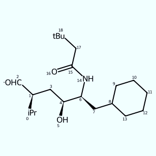 CC(C)[C@@H]([C]=O)C[C@H](O)[C@H](CC1CCCCC1)NC(=O)CC(C)(C)C